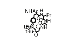 CC(=O)NC(Cc1ccc(OC(C)(C)C)cc1)C(=O)NC(C(=O)NC(C)C(=O)NC(CC(=O)OC(C)(C)C)C(=O)O)C(C)C